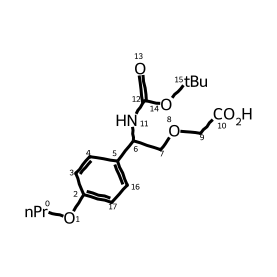 CCCOc1ccc(C(COCC(=O)O)NC(=O)OC(C)(C)C)cc1